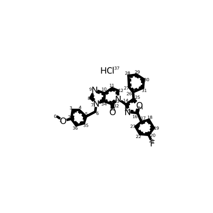 COc1ccc(Cn2cnc3ccn(-c4nc(-c5ccc(F)cc5)oc4-c4ccccc4)c(=O)c32)cc1.Cl